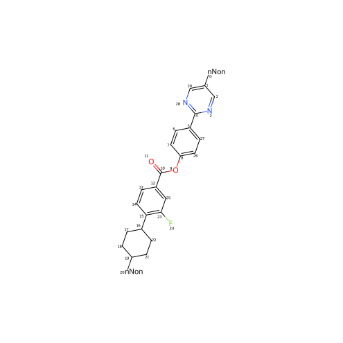 CCCCCCCCCc1cnc(-c2ccc(OC(=O)c3ccc(C4CCC(CCCCCCCCC)CC4)c(F)c3)cc2)nc1